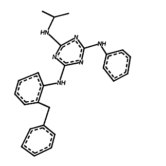 CC(C)Nc1nc(Nc2ccccc2)nc(Nc2ccccc2Cc2ccccc2)n1